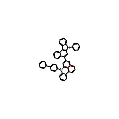 c1ccc(-c2ccc(N(c3cccc(-c4cc5c(c6ccccc46)c4ccccc4n5-c4ccccc4)c3)c3ccccc3-c3ccccc3)cc2)cc1